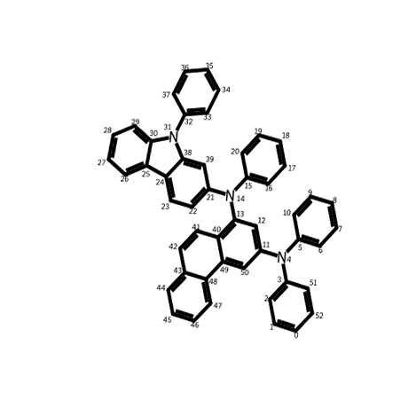 c1ccc(N(c2ccccc2)c2cc(N(c3ccccc3)c3ccc4c5ccccc5n(-c5ccccc5)c4c3)c3ccc4ccccc4c3c2)cc1